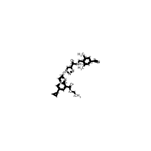 CCOC(=O)c1cc(C2CC2)cn2cc(CN3CC(C(=O)NCc4c(C)cc(C#N)cc4C)N=N3)nc12